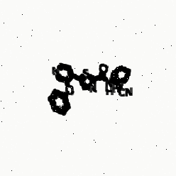 N#CN1CC2CCC1[C@@H]2NC(=O)c1ncc(-c2ccncc2Oc2ccccc2)s1